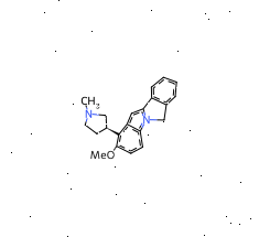 COc1ccc2c(cc3n2Cc2ccccc2-3)c1[C@H]1CCN(C)C1